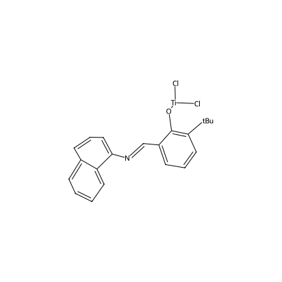 CC(C)(C)c1cccc(C=Nc2cccc3ccccc23)c1[O][Ti]([Cl])[Cl]